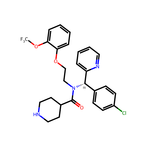 O=C(C1CCNCC1)N(CCOc1ccccc1OC(F)(F)F)[C@@H](c1ccc(Cl)cc1)c1ccccn1